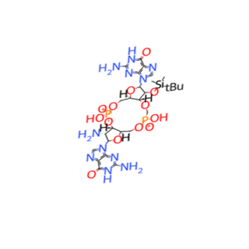 CC(C)(C)[Si](C)(C)OC1[C@H](n2cnc3c(=O)[nH]c(N)nc32)O[C@@H]2COP(=O)(O)O[C@H]3[C@@H](N)[C@H](n4cnc5c(=O)[nH]c(N)nc54)O[C@@H]3COP(=O)(O)CO[C@@H]12